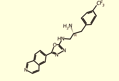 N[C@@H](CNc1nnc(-c2ccc3cnccc3c2)o1)Cc1ccc(C(F)(F)F)cc1